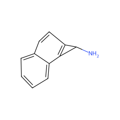 NC1c2ccc3ccccc3c21